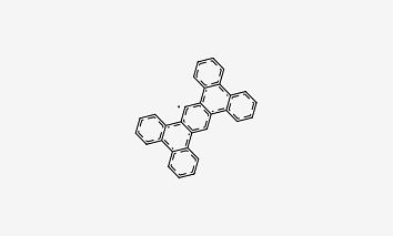 [c]1c2c3ccccc3c3ccccc3c2cc2c1c1ccccc1c1ccccc21